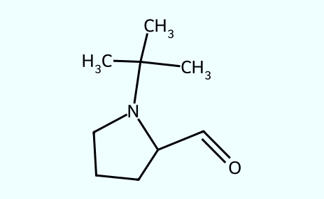 CC(C)(C)N1CCCC1C=O